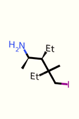 CC[C@H]([C@@H](C)N)C(C)(CC)CI